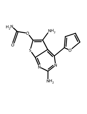 NC(=O)Oc1sc2nc(N)nc(-c3ccco3)c2c1N